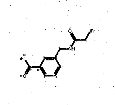 CC(C)CC(=O)NCc1cccc(C(=O)C(C)C)c1